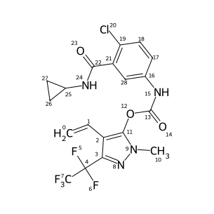 C=Cc1c(C(F)(F)C(F)(F)F)nn(C)c1OC(=O)Nc1ccc(Cl)c(C(=O)NC2CC2)c1